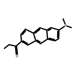 CCC(=O)c1ccc2cc3cc(N(C)C)ccc3cc2c1